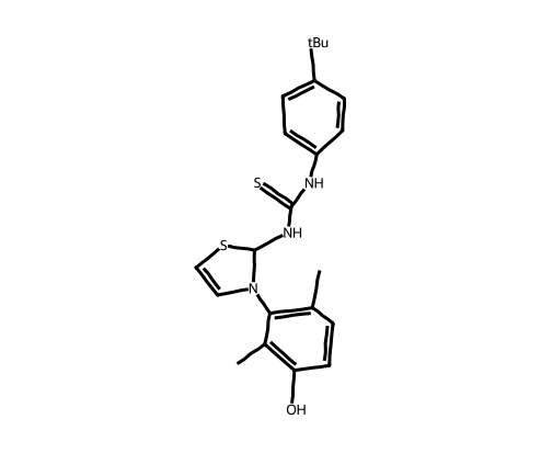 Cc1ccc(O)c(C)c1N1C=CSC1NC(=S)Nc1ccc(C(C)(C)C)cc1